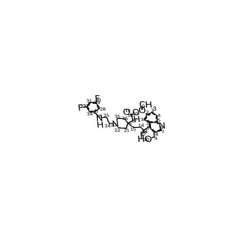 COc1ccc2ncc(CO)c([C@@H](F)CCC3(CC(=O)O)CCN(CCNc4cc(F)cc(F)c4)CC3)c2c1